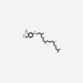 COc1cc(OCCC(C)CCC[C@H](C)CCC[C@H](C)CCCC(C)C)ccc1[C]=O